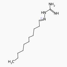 CCCCCCCCCC/C=N/NC(=N)N